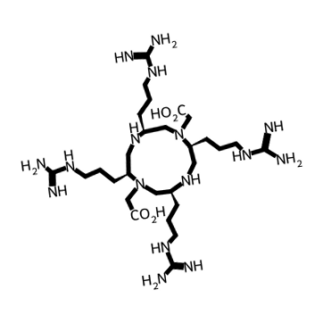 N=C(N)NCCC[C@H]1CN(CC(=O)O)[C@@H](CCCNC(=N)N)CN[C@@H](CCCNC(=N)N)CN(CC(=O)O)[C@@H](CCCNC(=N)N)CN1